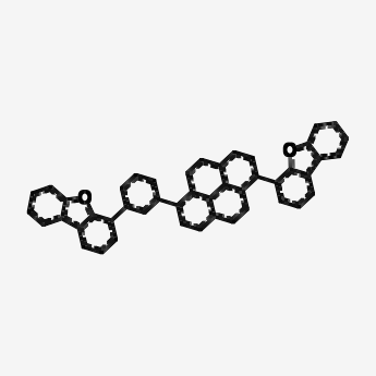 c1cc(-c2ccc3ccc4c(-c5cccc6c5oc5ccccc56)ccc5ccc2c3c54)cc(-c2cccc3c2oc2ccccc23)c1